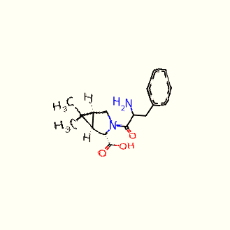 CC1(C)[C@@H]2[C@@H](C(=O)O)N(C(=O)C(N)Cc3ccccc3)C[C@@H]21